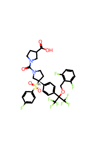 O=C(O)C1CCN(C(=O)N2CC[C@](c3ccc(C(OCc4c(F)cccc4F)(C(F)(F)F)C(F)(F)F)cc3)(S(=O)(=O)c3ccc(F)cc3)C2)C1